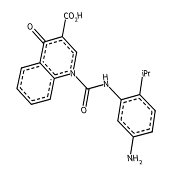 CC(C)c1ccc(N)cc1NC(=O)n1cc(C(=O)O)c(=O)c2ccccc21